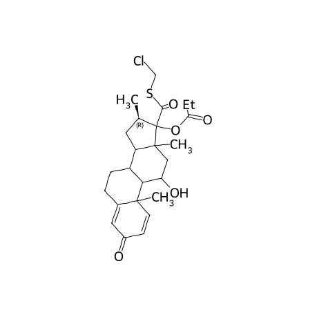 CCC(=O)OC1(C(=O)SCCl)[C@H](C)CC2C3CCC4=CC(=O)C=CC4(C)C3C(O)CC21C